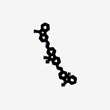 CCN1C2=CC=C(/C=C/c3ccc4c(c3)C(CC)(CC)c3cc(/C=C/c5ccc6c(c5)c5c(n6CC)CCC=C5)ccc3-4)C[C@H]2C2=C1CCC=C2